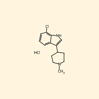 CN1CCC(c2c[nH]c3c(Cl)cccc23)CC1.Cl